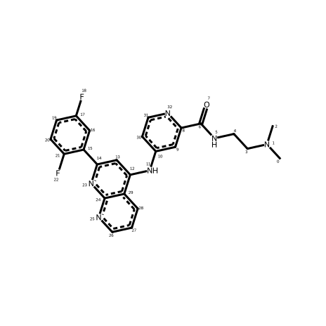 CN(C)CCNC(=O)c1cc(Nc2cc(-c3cc(F)ccc3F)nc3ncccc23)ccn1